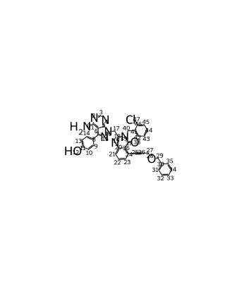 Nc1ncnc2c1c(-c1ccc(O)cc1)nn2Cc1nc2cccc(C#CCOCc3ccccc3)c2c(=O)n1Cc1ccccc1Cl